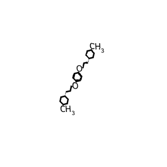 C[C@H]1CC[C@H](CCCOc2ccc(OCCC[C@H]3CC[C@H](C)CC3)cc2)CC1